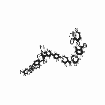 O=C1CCC(N2Cc3cc(N4CCCN(CC5CCN(c6ccc(-c7cnc8[nH]cc(C(=O)c9c(F)ccc(NS(=O)(=O)N%10CC[C@@H](F)C%10)c9F)c8c7)cc6)CC5)CC4)ccc3C2=O)C(=O)N1